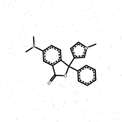 CN(C)c1ccc2c(c1)C(=O)OC2(c1ccccc1)c1ccn(C)c1